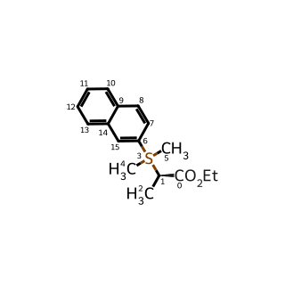 CCOC(=O)[C@@H](C)S(C)(C)c1ccc2ccccc2c1